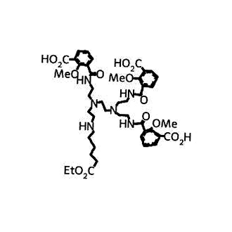 CCOC(=O)CCCCCNCCN(CCNC(=O)c1cccc(C(=O)O)c1OC)CCN(CCNC(=O)c1cccc(C(=O)O)c1OC)CCNC(=O)c1cccc(C(=O)O)c1OC